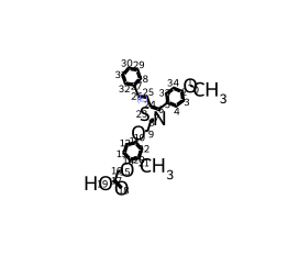 COc1ccc(-c2nc(COc3ccc(OCC(=O)O)c(C)c3)sc2/C=C/c2ccccc2)cc1